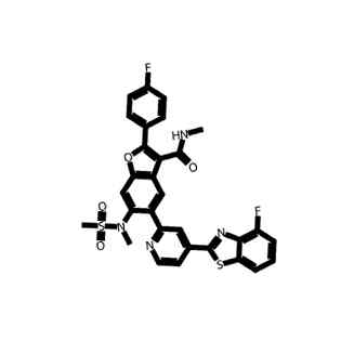 CNC(=O)c1c(-c2ccc(F)cc2)oc2cc(N(C)S(C)(=O)=O)c(-c3cc(-c4nc5c(F)cccc5s4)ccn3)cc12